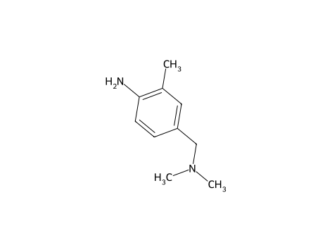 Cc1cc(CN(C)C)ccc1N